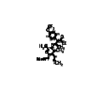 C=CCC(N=CNC)N(C)/C(=N\C(=C)N(C(=O)CC)c1ccc(OC(F)(F)F)nc1)[S+](C)[O-]